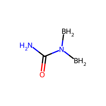 BN(B)C(N)=O